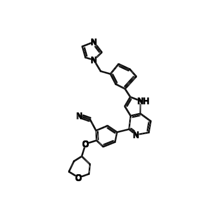 N#Cc1cc(-c2nccc3[nH]c(-c4cccc(Cn5ccnc5)c4)cc23)ccc1OC1CCOCC1